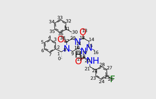 C[C@H](c1ccccc1)N1C[C@H]2N(C(=O)CN(C)N2C(=O)NCc2ccc(F)cc2)[C@@H](Cc2ccccc2)C1=O